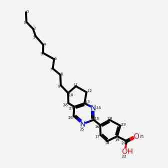 CCCCCCCCCCC1CCc2nc(-c3ccc(C(=O)O)cc3)ncc2C1